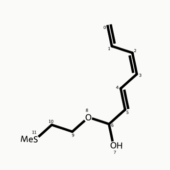 C=C/C=C\C=C\C(O)OCCSC